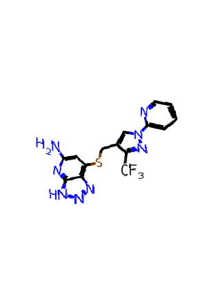 Nc1cc(SCc2cn(-c3ccccn3)nc2C(F)(F)F)c2nn[nH]c2n1